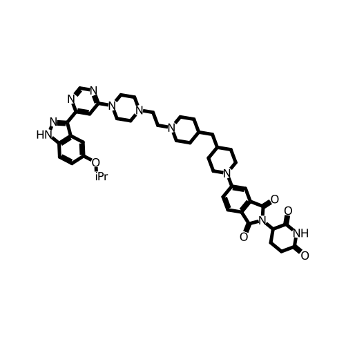 CC(C)Oc1ccc2[nH]nc(-c3cc(N4CCN(CCN5CCC(CC6CCN(c7ccc8c(c7)C(=O)N(C7CCC(=O)NC7=O)C8=O)CC6)CC5)CC4)ncn3)c2c1